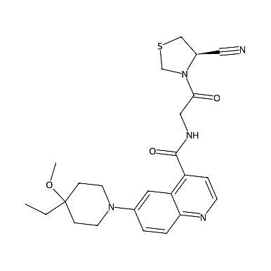 CCC1(OC)CCN(c2ccc3nccc(C(=O)NCC(=O)N4CSC[C@H]4C#N)c3c2)CC1